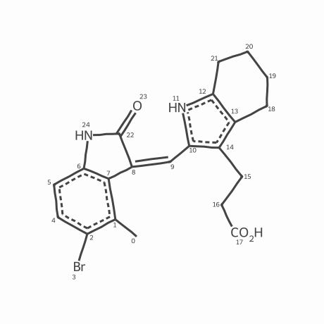 Cc1c(Br)ccc2c1/C(=C/c1[nH]c3c(c1CCC(=O)O)CCCC3)C(=O)N2